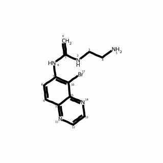 C=C(NCCN)Nc1ccc2nccnc2c1Br